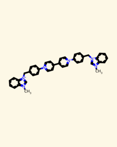 Cn1c[n+](Cc2ccc(-[n+]3ccc(-c4cc[n+](-c5ccc(C[n+]6cn(C)c7ccccc76)cc5)cc4)cc3)cc2)c2ccccc21